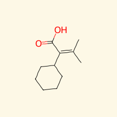 CC(C)=C(C(=O)O)C1CCCCC1